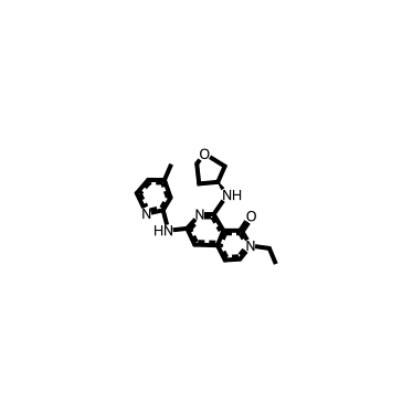 CCn1ccc2cc(Nc3cc(C)ccn3)nc(N[C@H]3CCOC3)c2c1=O